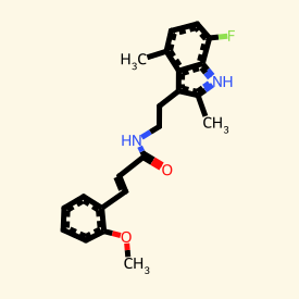 COc1ccccc1/C=C/C(=O)NCCc1c(C)[nH]c2c(F)ccc(C)c12